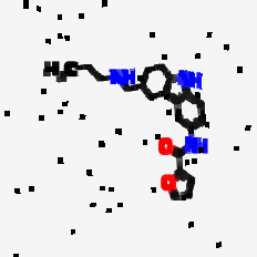 CCCNCC1CCc2[nH]c3ccc(NC(=O)c4ccco4)cc3c2C1